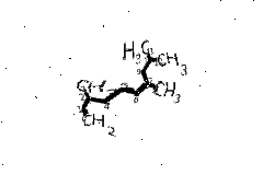 C=C[C](C)CCC=C(C)CC(C)C